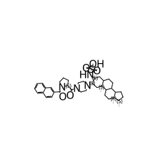 C[C@H]1CCC2C3CCC4C[C@H](NS(=O)(=O)O)[C@@H](N5CCN(C(=O)[C@@H]6CCCN6C(=O)c6ccc7ccccc7c6)CC5)C[C@]4(C)C3CC[C@@]21C